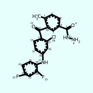 Cc1ccc(C(=O)NN)cc1C(=O)c1ccc(Nc2ccc(F)cc2F)cc1Cl